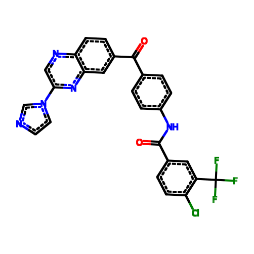 O=C(Nc1ccc(C(=O)c2ccc3ncc(-n4ccnc4)nc3c2)cc1)c1ccc(Cl)c(C(F)(F)F)c1